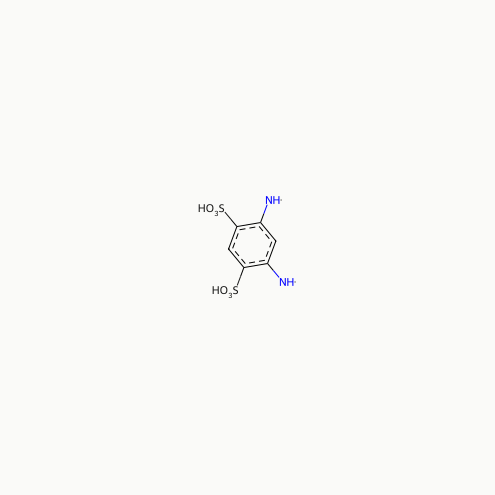 [NH]c1cc([NH])c(S(=O)(=O)O)cc1S(=O)(=O)O